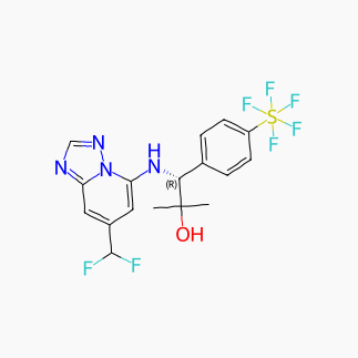 CC(C)(O)[C@H](Nc1cc(C(F)F)cc2ncnn12)c1ccc(S(F)(F)(F)(F)F)cc1